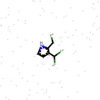 FCc1[nH]ccc1C(F)F